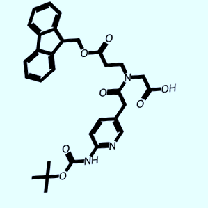 CC(C)(C)OC(=O)Nc1ccc(CC(=O)N(CCC(=O)OCC2c3ccccc3-c3ccccc32)CC(=O)O)cn1